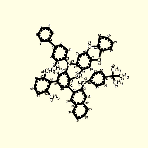 Cc1cc(-c2ccccc2)ccc1N1c2cc3c(cc2Bc2c(-c4cc5ccccc5cc4Nc4ccc(C(C)(C)C)cc4)cc(-c4c(C)cccc4C)cc21)Oc1ccccc1O3